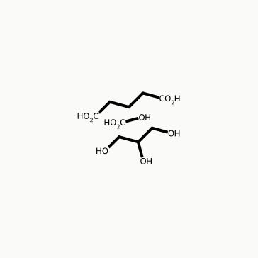 O=C(O)CCCC(=O)O.O=C(O)O.OCC(O)CO